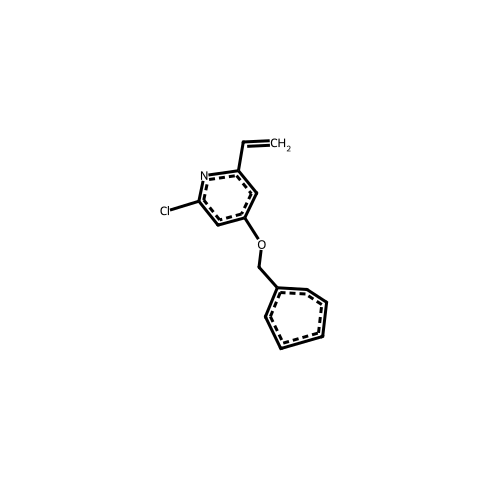 C=Cc1cc(OCc2ccccc2)cc(Cl)n1